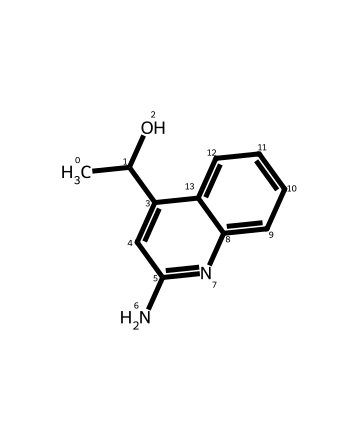 CC(O)c1cc(N)nc2ccccc12